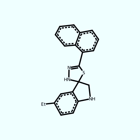 CCc1ccc2c(c1)C1(CN2)NN=C(c2cccc3ccccc23)S1